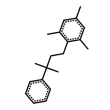 Cc1cc(C)c(CCC(C)(C)c2ccccc2)c(C)c1